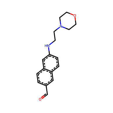 O=Cc1ccc2cc(NCCN3CCOCC3)ccc2c1